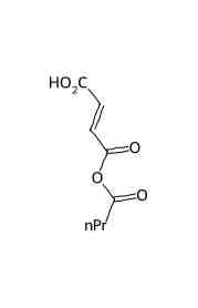 CCCC(=O)OC(=O)/C=C/C(=O)O